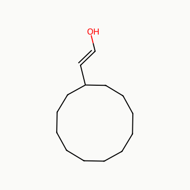 OC=CC1CCCCCCCCCCC1